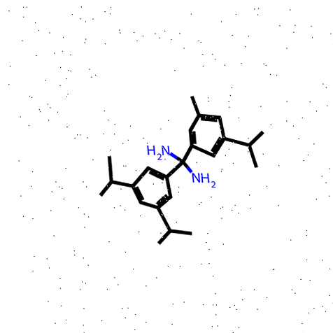 Cc1cc(C(C)C)cc(C(N)(N)c2cc(C(C)C)cc(C(C)C)c2)c1